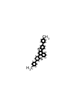 Cc1ccc(C2=CC3=C(CC2)c2cc4sc5cc(-c6ccc(C)cc6)ccc5c4c4cccc(c24)S3)cc1